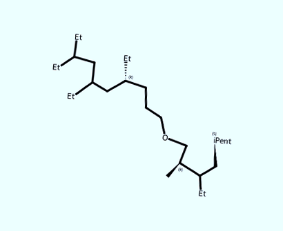 CCC[C@H](C)CC(CC)[C@@H](C)COCCC[C@@H](CC)CC(CC)CC(CC)CC